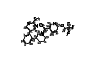 CSc1ncc(-c2ccccc2C2CCCN(C(=O)c3ccc(OCC(F)(F)F)nc3)C2)cn1